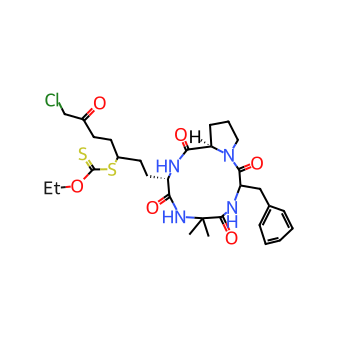 CCOC(=S)SC(CCC(=O)CCl)CC[C@@H]1NC(=O)[C@H]2CCCN2C(=O)C(Cc2ccccc2)NC(=O)C(C)(C)NC1=O